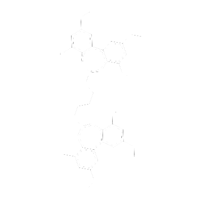 CCOc1cc(C)c2op(O[C@H](C)C[C@@H](C)Op3oc4c(C(C)(C)C)cc(OCC)cc4c4cc(OCC)cc(C(C)(C)C)c4o3)oc3c(C(C)(C)C)cc(OCC)cc3c2c1